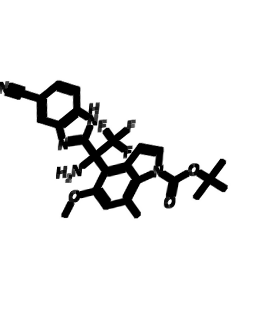 COc1cc(C)c2c(ccn2C(=O)OC(C)(C)C)c1C(N)(c1nc2cc(C#N)ccc2[nH]1)C(F)(F)F